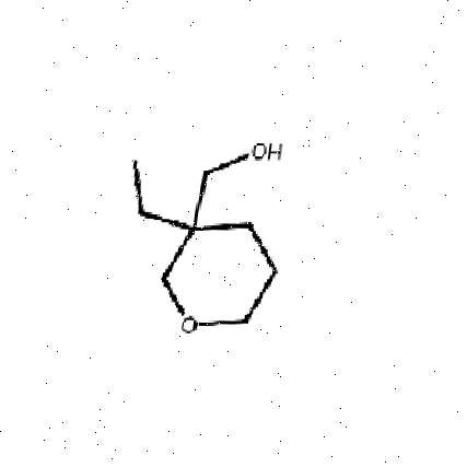 CCC1(CO)CCCOC1